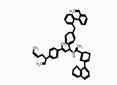 C=Cc1ccccc1-c1ccccc1CC1=CC=C(C(/C=C(\C)c2ccc(C(C=C)C/C=C\C)cc2)NC(=C)C2=CC(c3cccc4c3CCC=C4)=CCC2)C=CC1